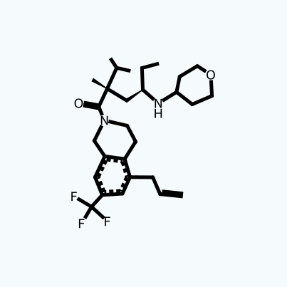 C=CCc1cc(C(F)(F)F)cc2c1CCN(C(=O)[C@@](C)(C[C@@H](CC)NC1CCOCC1)C(C)C)C2